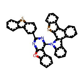 c1ccc2c(c1)oc1nc(-c3ccc4sc5ccccc5c4c3)nc(-n3c4ccccc4c4c5ccccc5c5c6ccccc6sc5c43)c12